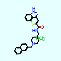 Cl.Cl.O=C(NCC1CCN(Cc2ccc3ccccc3c2)CC1)C1=Cc2n[nH]c3cccc(c23)S1